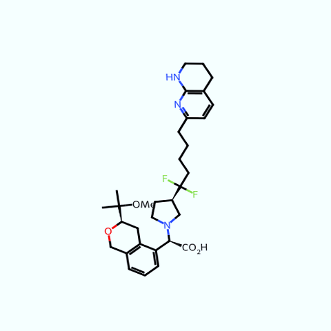 COC(C)(C)[C@H]1Cc2c(cccc2[C@H](C(=O)O)N2CC[C@@H](C(F)(F)CCCCc3ccc4c(n3)NCCC4)C2)CO1